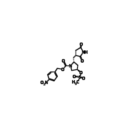 CS(=O)(=O)O[C@@H]1C[C@@H](CC2CC(=O)NC2=O)N(C(=O)OCc2ccc([N+](=O)[O-])cc2)C1